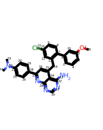 COc1cccc(-c2ccc(Cl)cc2Cc2cc(-c3ccc(N(C)C)cc3)nc3ncnc(N)c23)c1